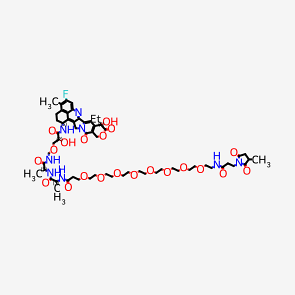 CC[C@@]1(O)C(=O)OCc2c1cc1n(c2=O)Cc2c-1nc1cc(F)c(C)c3c1c2[C@@H](NC(=O)[C@H](O)COCNC(=O)[C@H](C)NC(=O)[C@H](C)NC(=O)CCOCCOCCOCCOCCOCCOCCOCCOCCNC(=O)CCN1C(=O)CC(C)C1=O)CC3